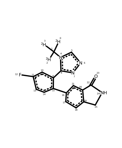 [2H]C([2H])([2H])n1cnnc1-c1cc(F)ccc1-c1ccc2c(c1)C(=O)NC2